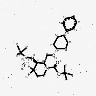 CC(C)(C)OC(=O)N1CCC(F)(F)C(=N[S@+]([O-])C(C)(C)C)C1CO[C@H]1CC[C@@H](c2ccccc2)CC1